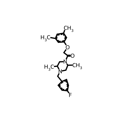 Cc1cc(C)cc(OCC(=O)N2CC(C)N(Cc3ccc(F)cc3)CC2C)c1